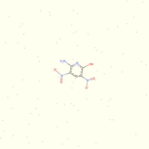 Nc1nc(O)c([N+](=O)[O-])cc1[N+](=O)[O-]